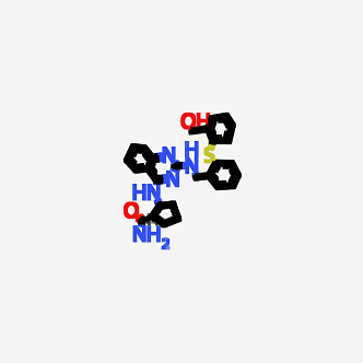 NC(=O)[C@@H]1CCCC1Nc1nc(NCc2ccccc2Sc2ccccc2CO)nc2ccccc12